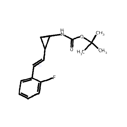 CC(C)(C)OC(=O)NC1CC1/C=C/c1ccccc1F